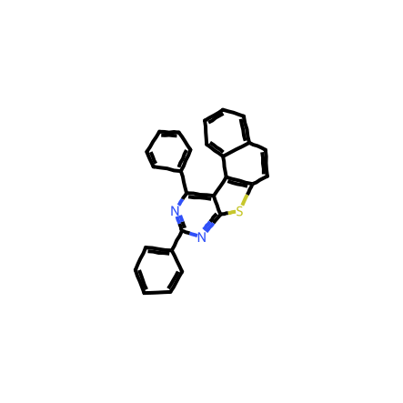 c1ccc(-c2nc(-c3ccccc3)c3c(n2)sc2ccc4ccccc4c23)cc1